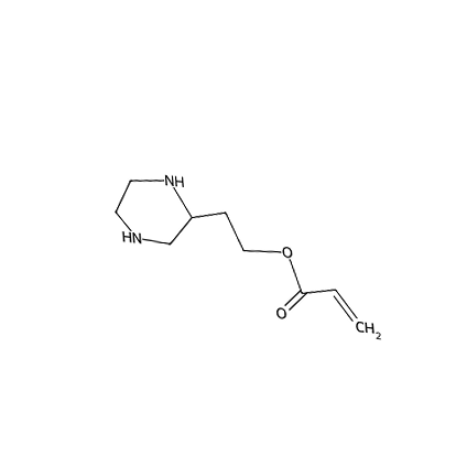 C=CC(=O)OCCC1CNCCN1